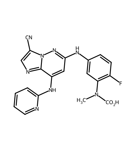 CN(C(=O)O)c1cc(Nc2cc(Nc3ccccn3)c3ncc(C#N)n3n2)ccc1F